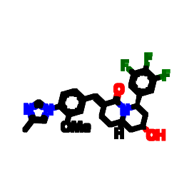 COc1cc(C=C2CC[C@H]3C[C@H](O)C[C@H](c4cc(F)c(F)c(F)c4)N3C2=O)ccc1-n1cnc(C)c1